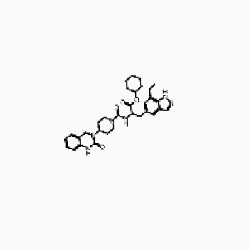 CCc1cc(CC(NC(=O)N2CCC(N3Cc4ccccc4NC3=O)CC2)C(=O)OC2CCCCC2)cc2cn[nH]c12